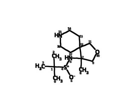 CC(C)(C)[S+]([O-])NC1(C)COCC12CCNCC2